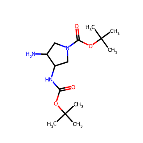 CC(C)(C)OC(=O)NC1CN(C(=O)OC(C)(C)C)CC1N